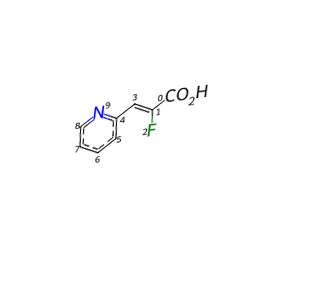 O=C(O)C(F)=Cc1ccccn1